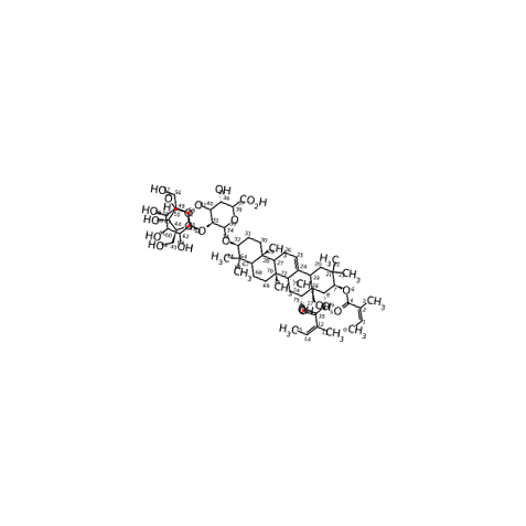 C/C=C(/C)C(=O)O[C@H]1[C@H](OC(=O)/C(C)=C\C)[C@@]2(CO)C(CC1(C)C)C1=CCC3[C@@]4(C)CC[C@H](OC5OC(C(=O)O)[C@@H](O)C(O[C@@H]6O[C@@H](CO)C(O)C6O)[C@@H]5O[C@@H]5OC(CO)[C@H](O)C(O)C5O)C(C)(C)C4CC[C@@]3(C)[C@]1(C)C[C@H]2O